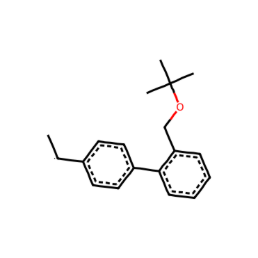 C[CH]c1ccc(-c2ccccc2COC(C)(C)C)cc1